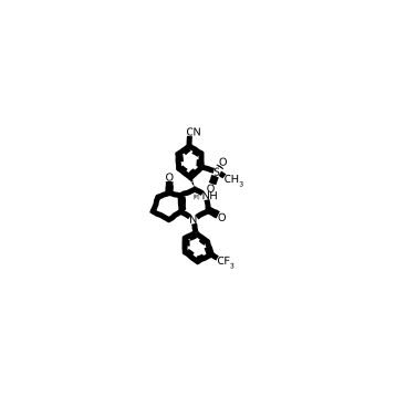 CS(=O)(=O)c1cc(C#N)ccc1[C@@H]1NC(=O)N(c2cccc(C(F)(F)F)c2)C2=C1C(=O)CCC2